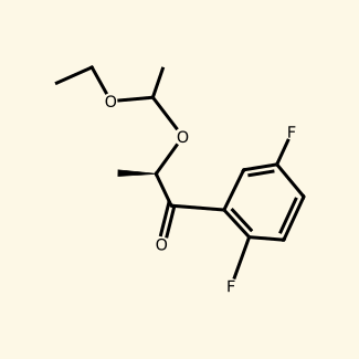 CCOC(C)O[C@H](C)C(=O)c1cc(F)ccc1F